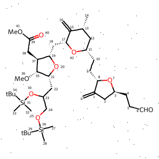 C=C1C[C@H](CCC=O)O[C@H]1CC[C@H]1C[C@@H](C)C(=C)[C@@H](C[C@@H]2O[C@H](CC(CO[Si](C)(C)C(C)(C)C)O[Si](C)(C)C(C)(C)C)[C@H](OC)[C@H]2CC(=O)OC)O1